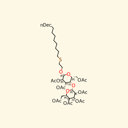 CCCCCCCCCCCCCCCCCCSCCO[C@@H]1O[C@H](COC(C)=O)[C@H](O[C@H]2O[C@H](COC(C)=O)[C@H](OC(C)=O)[C@H](OC(C)=O)[C@H]2OC(C)=O)[C@H](OC(C)=O)[C@H]1OC(C)=O